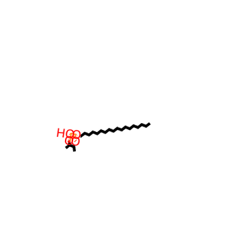 CCCCCCCCCCCCCCCCCCOP(=O)(O)OC(C)CC